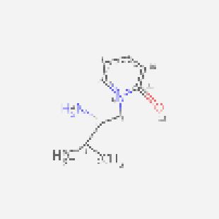 CC(C)[C@H](N)Cn1ccccc1=O